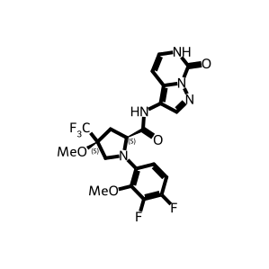 COc1c(N2C[C@](OC)(C(F)(F)F)C[C@H]2C(=O)Nc2cnn3c(=O)[nH]ccc23)ccc(F)c1F